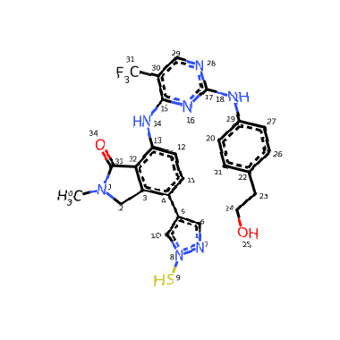 CN1Cc2c(-c3cnn(S)c3)ccc(Nc3nc(Nc4ccc(CCO)cc4)ncc3C(F)(F)F)c2C1=O